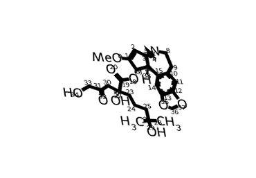 COC1=C[C@]23CCCN2CCc2cc4c(cc2[C@@H]3[C@@H]1OC(=O)[C@@](O)(CCCC(C)(C)O)CC(=O)CO)OCO4